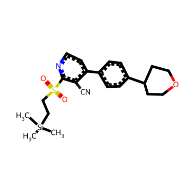 C[Si](C)(C)CCS(=O)(=O)c1nccc(-c2ccc(C3CCOCC3)cc2)c1C#N